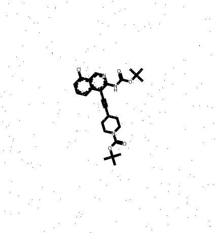 CC(C)(C)OC(=O)Nc1ncc2c(Cl)cccc2c1C#CC1CCN(C(=O)OC(C)(C)C)CC1